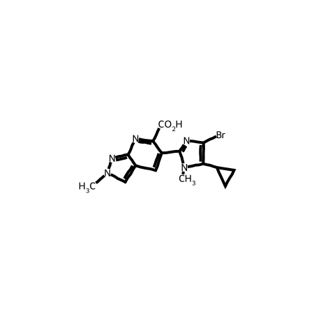 Cn1cc2cc(-c3nc(Br)c(C4CC4)n3C)c(C(=O)O)nc2n1